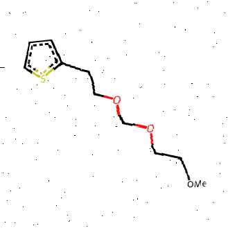 COCCOCOCCc1cccs1